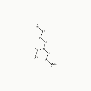 CCSCC[C](CCSC)SCC